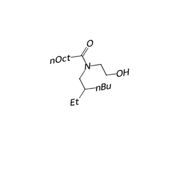 CCCCCCCCC(=O)N(CCO)CC(CC)CCCC